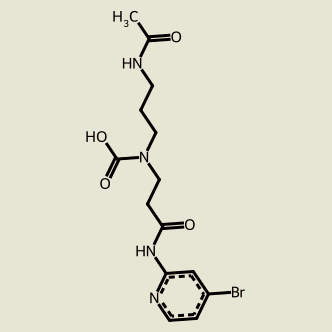 CC(=O)NCCCN(CCC(=O)Nc1cc(Br)ccn1)C(=O)O